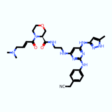 Cc1cc(Nc2cc(NCCNC(=O)[C@@H]3COCCN3C(=O)/C=C/CN(C)C)nc(Nc3ccc(CC#N)cc3)n2)n[nH]1